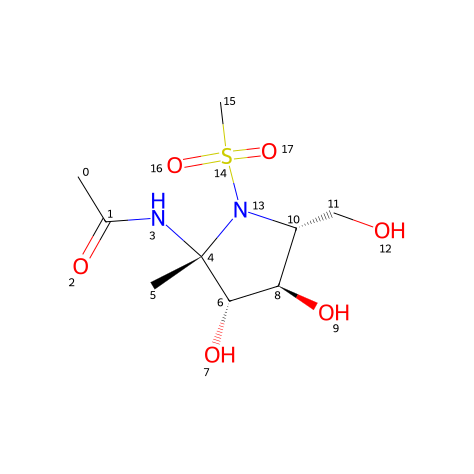 CC(=O)N[C@@]1(C)[C@@H](O)[C@H](O)[C@@H](CO)N1S(C)(=O)=O